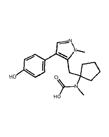 CN(C(=O)O)C1(Cc2c(-c3ccc(O)cc3)cnn2C)CCCC1